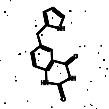 O=c1[nH]c(=O)c2cc(Cc3ccc[nH]3)ccc2[nH]1